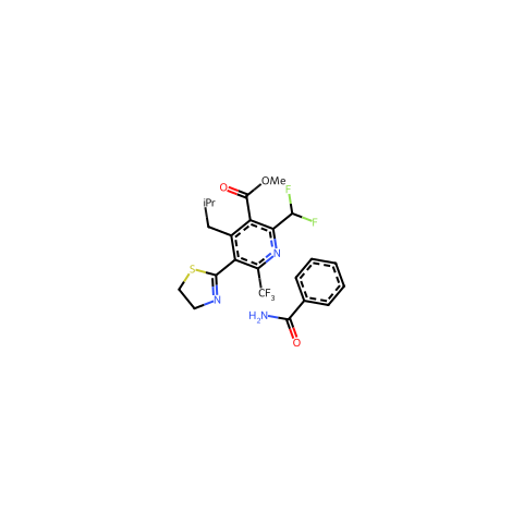 COC(=O)c1c(C(F)F)nc(C(F)(F)F)c(C2=NCCS2)c1CC(C)C.NC(=O)c1ccccc1